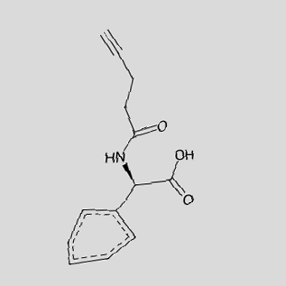 C#CCCC(=O)N[C@@H](C(=O)O)c1ccccc1